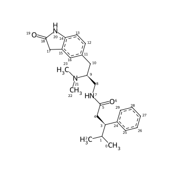 CC(C)[C@@H](CC(=O)NC[C@H](Cc1ccc2c(c1)CC(=O)N2)N(C)C)c1ccccc1